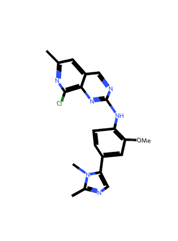 COc1cc(-c2cnc(C)n2C)ccc1Nc1ncc2cc(C)nc(Cl)c2n1